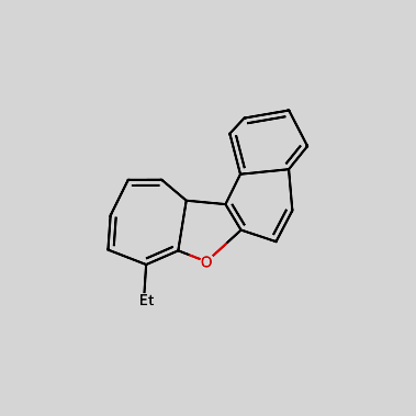 CCC1=C2Oc3ccc4ccccc4c3C2C=CC=C1